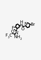 C[C@@]1(c2cc(NC(=O)c3ccc(Br)cn3)ccc2F)CO[C@@H](C(F)(F)F)C(N)=N1